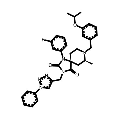 CC(C)Oc1cccc(CN2CC[C@@]3(C[C@@H]2C)C(=O)N(Cc2cn(-c4ccccc4)nn2)C(=O)N3c2cccc(F)c2)c1